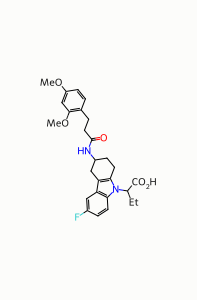 CCC(C(=O)O)n1c2c(c3cc(F)ccc31)CC(NC(=O)CCc1ccc(OC)cc1OC)CC2